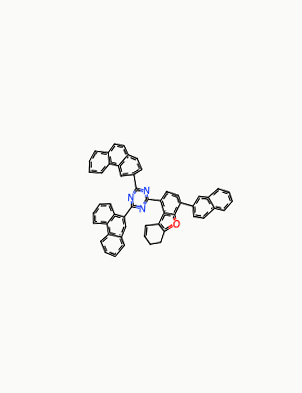 C1=Cc2c(oc3c(-c4ccc5ccccc5c4)ccc(-c4nc(-c5ccc6ccc7ccccc7c6c5)nc(-c5cc6ccccc6c6ccccc56)n4)c23)CC1